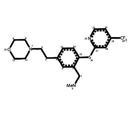 CNCc1cc(CCN2CCOCC2)ccc1Sc1cc(C(F)(F)F)ccn1